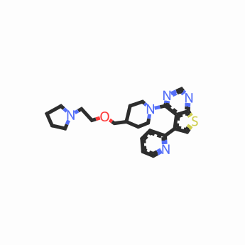 c1ccc(-c2csc3ncnc(N4CCC(COCCN5CCCC5)CC4)c23)nc1